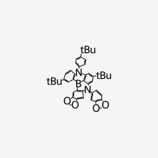 CC(C)(C)c1ccc(N2c3ccc(C(C)(C)C)cc3B3c4cc5c(cc4N(c4ccc6c(c4)OCO6)c4cc(C(C)(C)C)cc2c43)OCO5)cc1